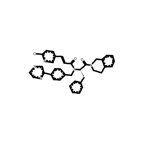 O=C([C@H](Cc1ccccc1)N(Cc1ccc(-c2cnccn2)cc1)C(=O)C=Cc1ccc(Cl)nc1)N1CCc2ccccc2C1